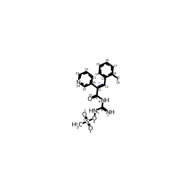 CS(=O)(=O)ONC(=N)NC(=O)/C(=C/c1ccccc1F)c1cccnc1